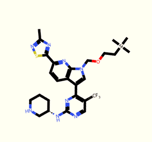 Cc1nsc(-c2ccc3c(-c4nc(N[C@H]5CCCNC5)ncc4C(F)(F)F)cn(COCC[Si](C)(C)C)c3n2)n1